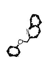 [c]1cccc(OCc2ccc3ccccc3n2)c1